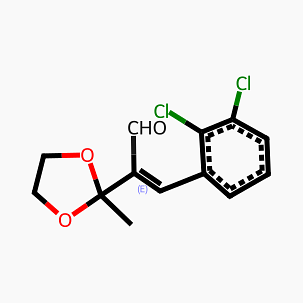 CC1(/C(C=O)=C/c2cccc(Cl)c2Cl)OCCO1